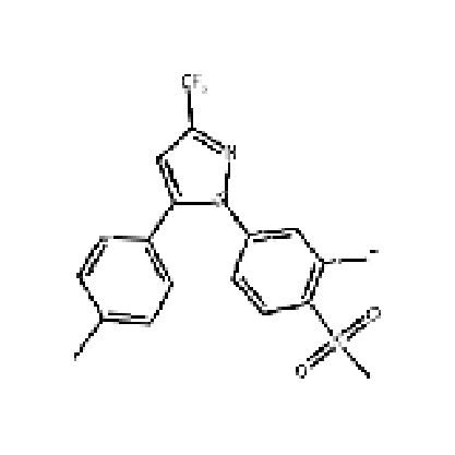 Cc1ccc(-c2cc(C(F)(F)F)nn2-c2ccc(S(C)(=O)=O)c(F)c2)cc1